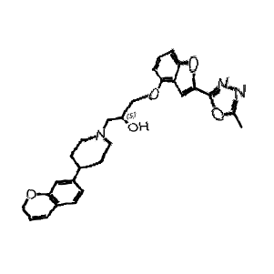 Cc1nnc(-c2cc3c(OC[C@@H](O)CN4CCC(c5ccc6c(c5)OCC=C6)CC4)cccc3o2)o1